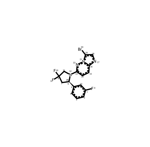 Fc1cccc([C@H]2CC(F)(F)CN2c2ccc3ncc(Br)n3n2)c1